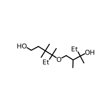 CCC(C)(O)C(C)COC(C)(CC)C(C)(C)CCO